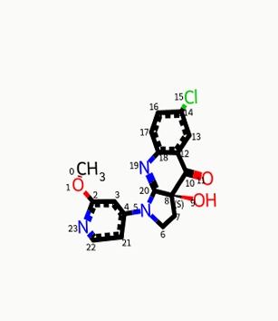 COc1cc(N2CC[C@@]3(O)C(=O)c4cc(Cl)ccc4N=C23)ccn1